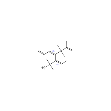 C=C/C=C(\C(=C/C)C(C)(C)S)C(C)(C)C(=C)C